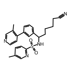 Cc1ccc(S(=O)(=O)NC(CCCCC#N)c2cccc(-c3ccncc3C)c2)nc1